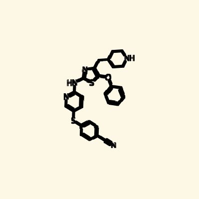 N#Cc1ccc(Sc2ccc(Nc3nc(CC4CCNCC4)c(Oc4ccccc4)s3)nc2)cc1